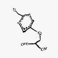 N#CC(C=O)Oc1cnc(Cl)nc1